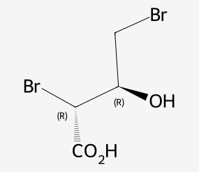 O=C(O)[C@H](Br)[C@H](O)CBr